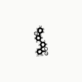 O=c1oc2ccc(-c3ccc4oc5ccccc5c4c3)cc2c2ccccc12